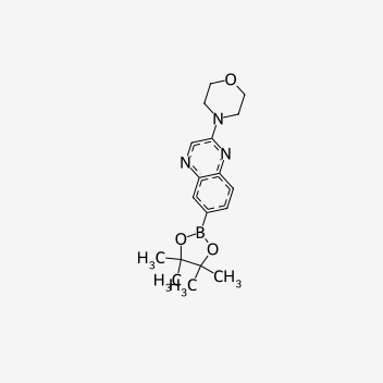 CC1(C)OB(c2ccc3nc(N4CCOCC4)cnc3c2)OC1(C)C